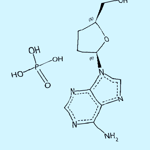 Nc1ncnc2c1ncn2[C@H]1CC[C@@H](CO)O1.O=P(O)(O)O